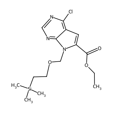 CCOC(=O)c1cc2c(Cl)ncnc2n1COCC[Si](C)(C)C